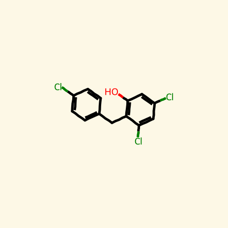 Oc1cc(Cl)cc(Cl)c1Cc1ccc(Cl)cc1